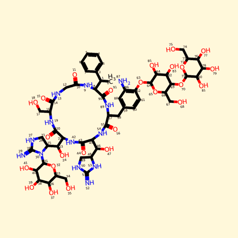 CC(c1ccccc1)C1NC(=O)CNC(=O)C(CO)NC(=O)C(C(O)C2CNC(=N)N2C2OC(CO)C(O)C(O)C2O)NC(=O)C(C(O)C2CNC(=N)N2)NC(=O)C(Cc2ccc(OC3OC(CO)C(OC4OC(CO)C(O)C(O)C4O)C(O)C3O)c(N)c2)NC1=O